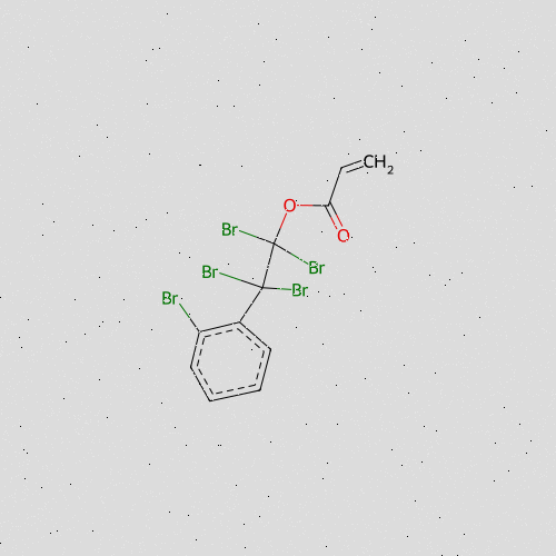 C=CC(=O)OC(Br)(Br)C(Br)(Br)c1ccccc1Br